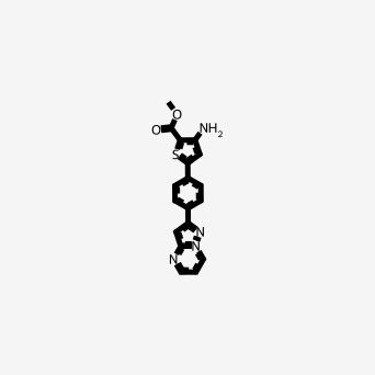 COC(=O)c1sc(-c2ccc(-c3cc4ncccn4n3)cc2)cc1N